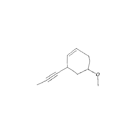 CC#CC1C=CCC(OC)C1